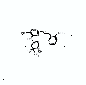 CC1(C)C[C@H](Nc2nc(NCCc3ccccc3OC(F)(F)F)ncc2C#N)CC[C@@H]1O